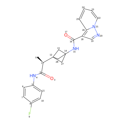 C[C@H](C(=O)Nc1ccc(F)cc1)C12CC(NC(=O)c3cnn4ccccc34)(C1)C2